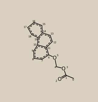 CC(=O)OCOc1cccc2c1ccc1ccccc12